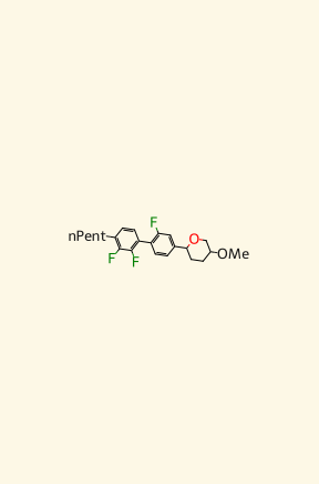 CCCCCc1ccc(-c2ccc(C3CCC(OC)CO3)cc2F)c(F)c1F